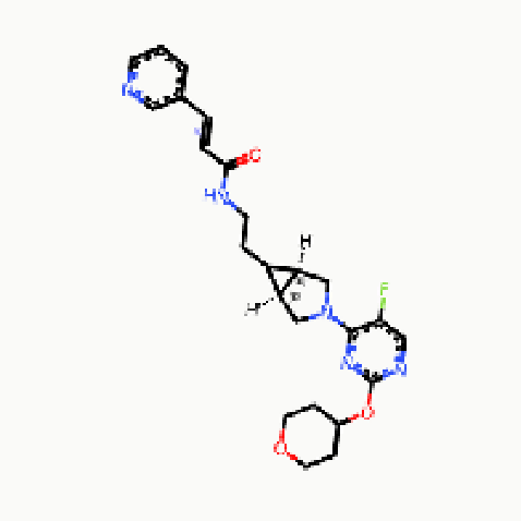 O=C(/C=C/c1cccnc1)NCCC1[C@H]2CN(c3nc(OC4CCOCC4)ncc3F)C[C@@H]12